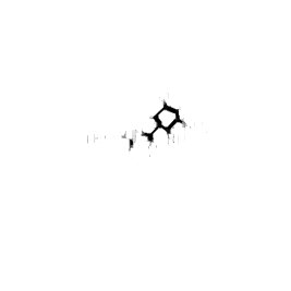 C[C@H](NC(=O)c1cc(C(F)(F)F)cc([N+](=O)[O-])c1N)C(=O)O